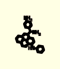 Nc1ccc(C(N)c2cc3cccc4ccc5c(Nc6ccccc6)ccc2c5c43)cc1